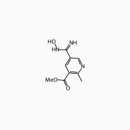 COC(=O)c1cc(C(=N)NO)cnc1C